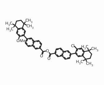 COc1cc2c(cc1-c1ccc3cc(C(=O)OC(=O)c4ccc5cc(-c6cc7c(cc6Cl)C(C)(C)CCC7(C)C)ccc5c4)ccc3c1)C(C)(C)CCC2(C)C